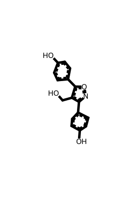 OCc1c(-c2ccc(O)cc2)noc1-c1ccc(O)cc1